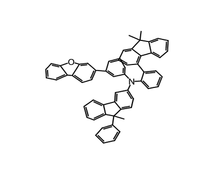 CC1(C)c2ccccc2-c2c(-c3ccccc3N(c3cccc(-c4ccc5c(c4)oc4ccccc45)c3)c3ccc4c(c3)-c3ccccc3C4(C)c3ccccc3)cccc21